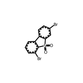 O=S1(=O)c2cc(Br)ccc2-c2cccc(Br)c21